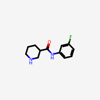 O=C(Nc1cccc(F)c1)C1CCCNC1